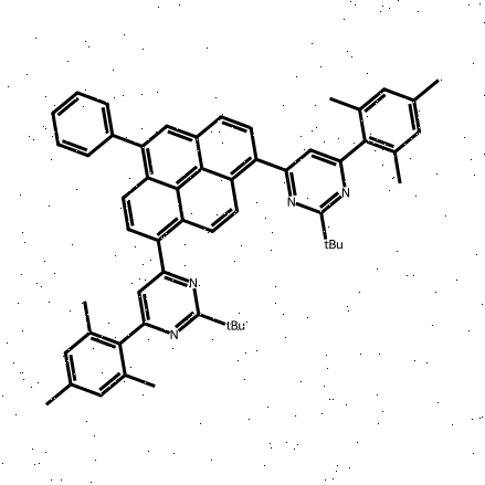 Cc1cc(C)c(-c2cc(-c3ccc4cc(-c5ccccc5)c5ccc(-c6cc(-c7c(C)cc(C)cc7C)nc(C(C)(C)C)n6)c6ccc3c4c56)nc(C(C)(C)C)n2)c(C)c1